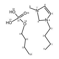 CCCCN1C=CN(C)C1.CCCCOP(=O)(O)O